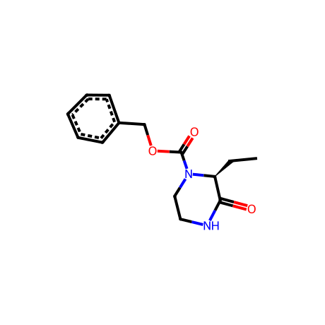 CC[C@H]1C(=O)NCCN1C(=O)OCc1ccccc1